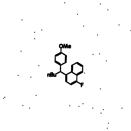 [CH2]CCCC(c1ccc(OC)cc1)c1ccc(F)c2ccccc12